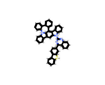 c1ccc2c(c1)-c1ccccc1-n1c3ccccc3c3cc4c(c-2c31)c1ccccc1n4-c1nc(-c2ccc3c(c2)sc2ccccc23)c2ccccc2n1